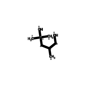 CC(CO)C[Si](C)(C)O